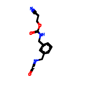 N#CCCOC(=O)NCc1cccc(CN=C=O)c1